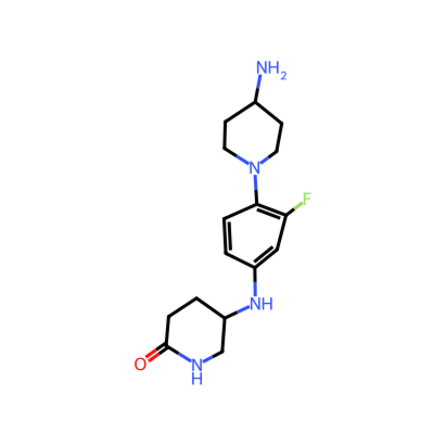 NC1CCN(c2ccc(NC3CCC(=O)NC3)cc2F)CC1